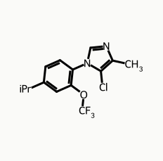 Cc1ncn(-c2ccc(C(C)C)cc2OC(F)(F)F)c1Cl